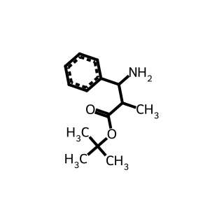 CC(C(=O)OC(C)(C)C)C(N)c1ccccc1